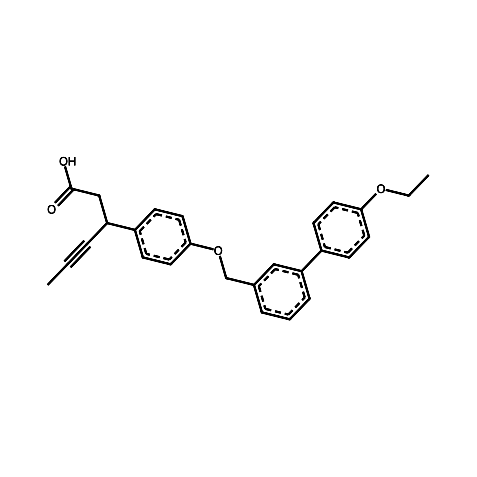 CC#CC(CC(=O)O)c1ccc(OCc2cccc(-c3ccc(OCC)cc3)c2)cc1